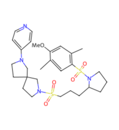 COc1cc(C)c(S(=O)(=O)N2CCCC2CCCS(=O)(=O)N2CCC3(CCN(c4ccncc4)C3)C2)cc1C